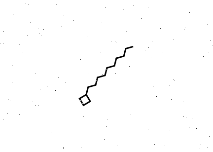 CCCCCCCCCCC1CCC1